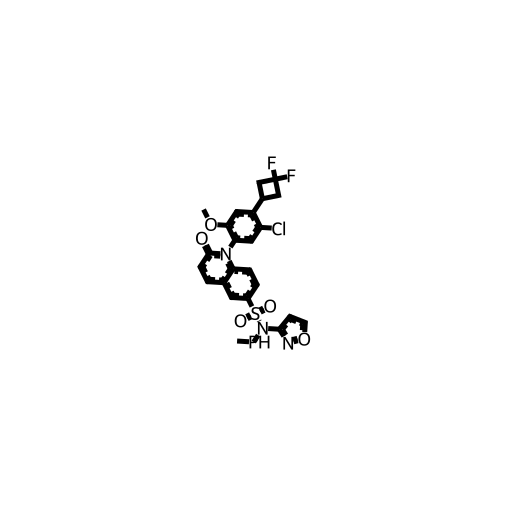 COc1cc(C2CC(F)(F)C2)c(Cl)cc1-n1c(=O)ccc2cc(S(=O)(=O)N(PC)c3ccon3)ccc21